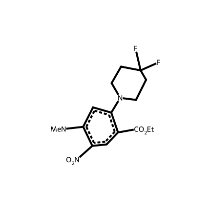 CCOC(=O)c1cc([N+](=O)[O-])c(NC)cc1N1CCC(F)(F)CC1